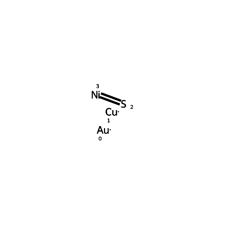 [Au].[Cu].[S]=[Ni]